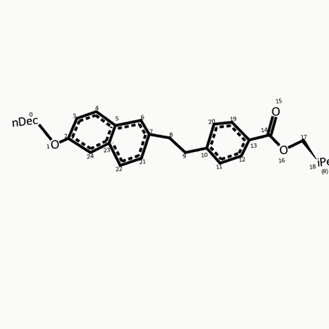 CCCCCCCCCCOc1ccc2cc(CCc3ccc(C(=O)OC[C@H](C)CCC)cc3)ccc2c1